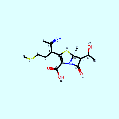 CSCCC(C(C)=N)C1=C(C(=O)O)N2C(=O)C(C(C)O)[C@@H]2S1